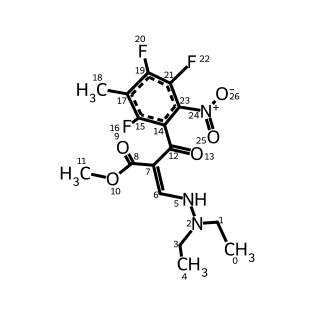 CCN(CC)N/C=C(/C(=O)OC)C(=O)c1c(F)c(C)c(F)c(F)c1[N+](=O)[O-]